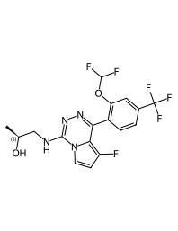 C[C@H](O)CNc1nnc(-c2ccc(C(F)(F)F)cc2OC(F)F)c2c(F)ccn12